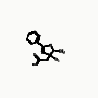 CC1OC(c2ccccc2)=NC1(C)CC(=O)O